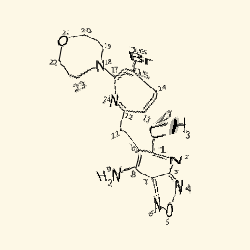 Cc1nc2nonc2c(N)c1Cc1ccc(Br)c(N2CCOCC2)n1